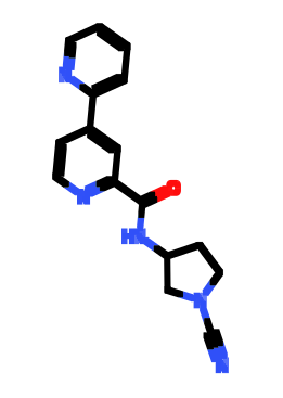 N#CN1CCC(NC(=O)c2cc(-c3ccccn3)ccn2)C1